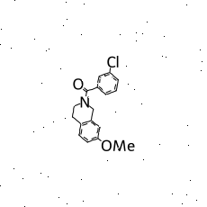 COc1ccc2c(c1)CN(C(=O)c1cccc(Cl)c1)CC2